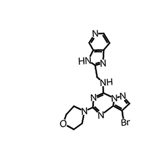 Brc1cnn2c(NCc3nc4ccncc4[nH]3)nc(N3CCOCC3)nc12